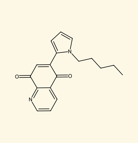 CCCCCn1cccc1C1=CC(=O)c2ncccc2C1=O